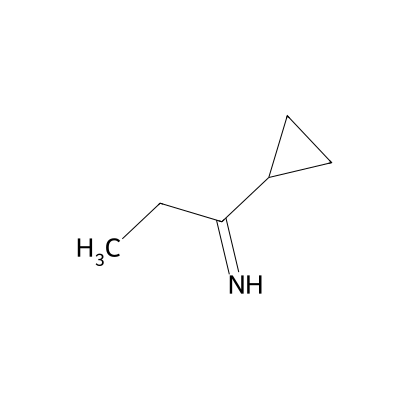 CCC(=N)C1CC1